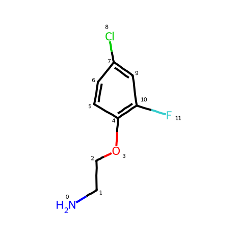 NCCOc1ccc(Cl)cc1F